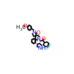 COc1ccc(CN2CCC3(CCN(C(C(=O)C4CCC(F)(F)CC4)[C@@H]4CNC[C@@H]4c4ccccc4)CC3)C2=O)cc1